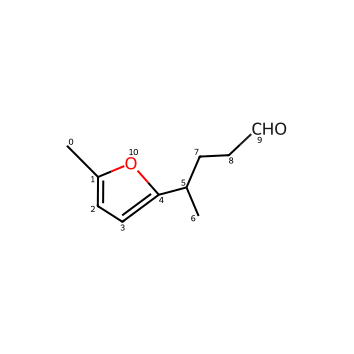 Cc1ccc(C(C)CCC=O)o1